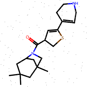 CC1(C)CC2CC(C)(CN2C(=O)C2C=C(C3=CCNCC3)SC2)C1